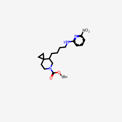 CC(C)(C)OC(=O)N1CCC2(CC2)C(CCCCNc2cccc([N+](=O)[O-])n2)C1